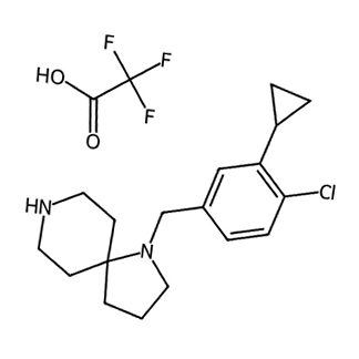 Clc1ccc(CN2CCCC23CCNCC3)cc1C1CC1.O=C(O)C(F)(F)F